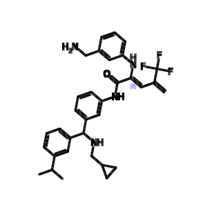 C=C(/C=C(\Nc1cccc(CN)c1)C(=O)Nc1cccc(C(NCC2CC2)c2cccc(C(C)C)c2)c1)C(F)(F)F